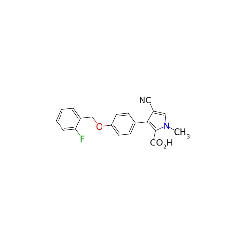 Cn1cc(C#N)c(-c2ccc(OCc3ccccc3F)cc2)c1C(=O)O